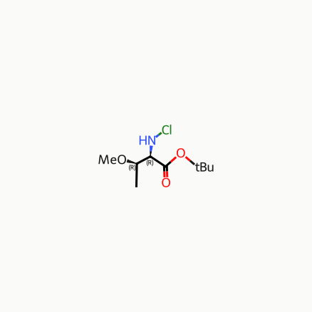 CO[C@H](C)[C@@H](NCl)C(=O)OC(C)(C)C